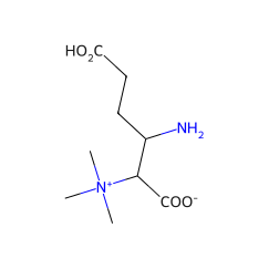 C[N+](C)(C)C(C(=O)[O-])C(N)CCC(=O)O